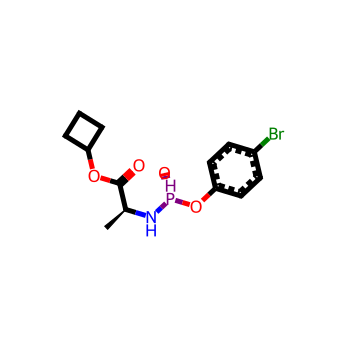 C[C@H](N[PH](=O)Oc1ccc(Br)cc1)C(=O)OC1CCC1